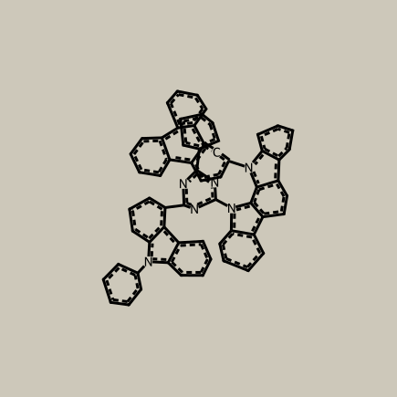 c1ccc(-c2nc(-c3cccc4c3c3ccccc3n4-c3ccccc3)nc(-n3c4ccccc4c4ccc5c6ccccc6n(-c6ccc7c8ccccc8c8ccccc8c7c6)c5c43)n2)cc1